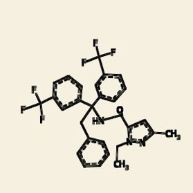 CCn1nc(C)cc1C(=O)NC(Cc1ccccc1)(c1cccc(C(F)(F)F)c1)c1cccc(C(F)(F)F)c1